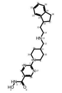 O=C(NO)c1cnc(N2CCC(CNCCC3CCc4ccccc43)CC2)nc1